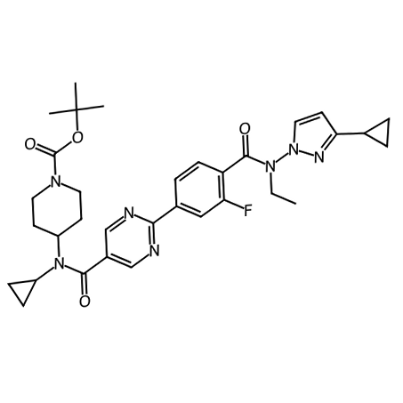 CCN(C(=O)c1ccc(-c2ncc(C(=O)N(C3CC3)C3CCN(C(=O)OC(C)(C)C)CC3)cn2)cc1F)n1ccc(C2CC2)n1